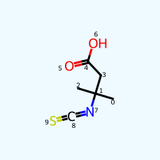 CC(C)(CC(=O)O)N=C=S